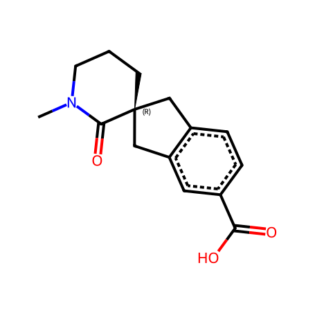 CN1CCC[C@]2(Cc3ccc(C(=O)O)cc3C2)C1=O